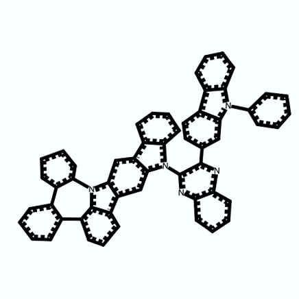 c1ccc(-n2c3ccccc3c3ccc(-c4nc5ccccc5nc4-n4c5ccccc5c5cc6c(cc54)c4cccc5c4n6-c4ccccc4-c4ccccc4-5)cc32)cc1